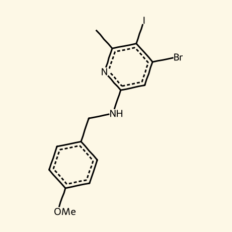 COc1ccc(CNc2cc(Br)c(I)c(C)n2)cc1